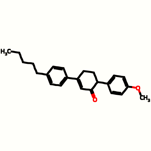 CCCCCc1ccc(C2=CC(=O)C(c3ccc(OC)cc3)CC2)cc1